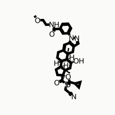 COCCNC(=O)c1cccc(-n2ncc3c2C=C2CC[C@@H]4[C@H]([C@@H](O)C[C@@]5(C)[C@H]4CC[C@]5(OC(=O)C4CC4)C(=O)SCC#N)[C@@]2(C)C3)c1